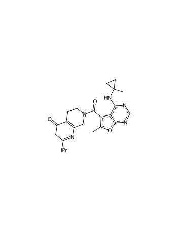 Cc1oc2ncnc(NC3(C)CC3)c2c1C(=O)N1CCC2=C(C1)N=C(C(C)C)CC2=O